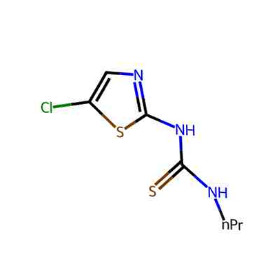 CCCNC(=S)Nc1ncc(Cl)s1